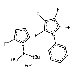 CC(C)(C)P([c-]1cccc1F)C(C)(C)C.Fc1c(F)c(F)[c-](-c2ccccc2)c1F.[Fe+2]